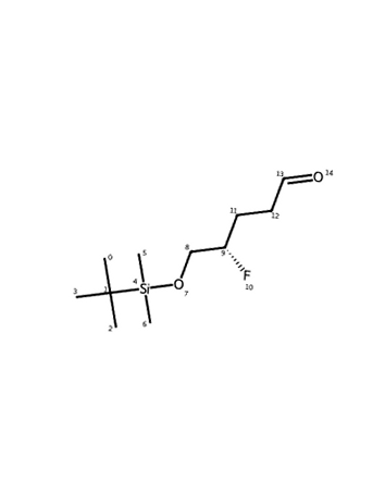 CC(C)(C)[Si](C)(C)OC[C@@H](F)CCC=O